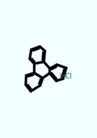 Cl.c1ccc2c(c1)c1ccccc1c1ccccc21